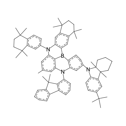 Cc1cc2c3c(c1)N(c1cccc4c1C(C)(C)c1ccccc1-4)c1cc(N4c5ccc(C(C)(C)C)cc5C5(C)CCCCC45C)ccc1B3c1cc3c(cc1N2c1ccc2c(c1)C(C)(C)CCC2(C)C)C(C)(C)CCC3(C)C